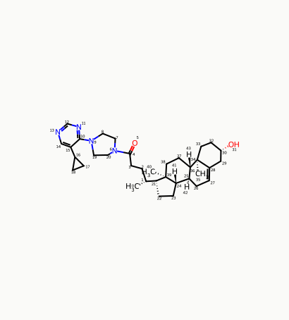 C[C@H](CCC(=O)N1CCN(c2ncncc2C2CC2)CC1)[C@H]1CC[C@H]2[C@@H]3CC=C4C[C@@H](O)CC[C@]4(C)[C@H]3CC[C@]12C